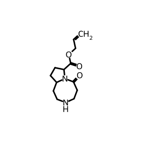 C=CCOC(=O)C1CCC2CCNCCC(=O)N21